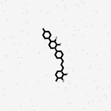 CC1CCC(C2CCC(C3CCC(CCCC4CCC(C)C(F)C4F)CC3)C(F)C2F)CC1